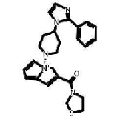 O=C(C1=CC2=CC=C[N@@+]2(N2CCC(n3ccnc3-c3ccccc3)CC2)C1)N1CCSC1